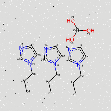 CCCn1ccnc1.CCCn1ccnc1.CCCn1ccnc1.OB(O)O